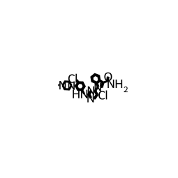 CN1CCN(c2cc(Nc3ncc(Cl)c(-n4cc(C(N)=O)c5ccccc54)n3)ccc2Cl)CC1